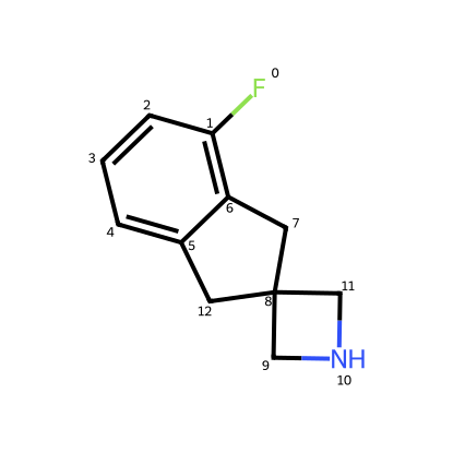 Fc1cccc2c1CC1(CNC1)C2